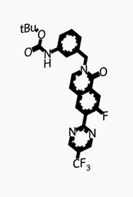 CC(C)(C)OC(=O)Nc1cccc(Cn2ccc3cc(-c4ncc(C(F)(F)F)cn4)c(F)cc3c2=O)c1